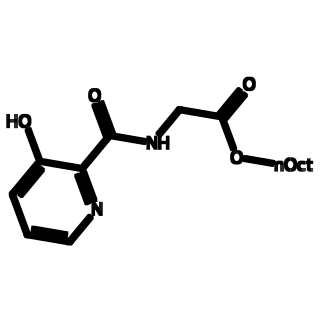 CCCCCCCCOC(=O)CNC(=O)c1ncccc1O